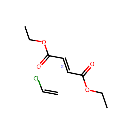 C=CCl.CCOC(=O)/C=C/C(=O)OCC